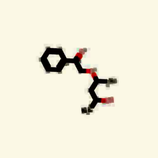 CCCCC(CC(C)O)OCC(=O)c1ccccc1